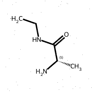 [CH2]CNC(=O)[C@H](C)N